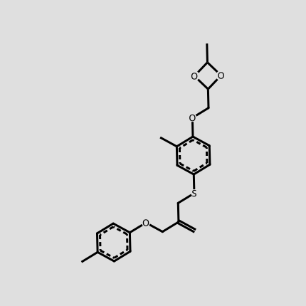 C=C(COc1ccc(C)cc1)CSc1ccc(OCC2OC(C)O2)c(C)c1